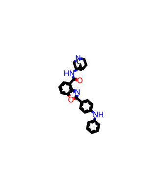 O=C(NC1CN2CCC1CC2)c1cccc2oc(-c3ccc(Nc4ccccc4)cc3)nc12